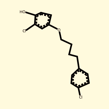 Oc1ccc(OCCCCc2ccc(Cl)cc2)cc1Cl